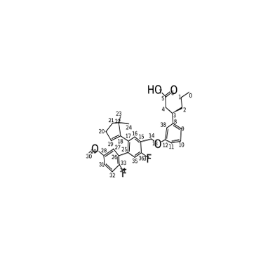 CCC[C@H](CC(=O)O)c1cccc(OCc2cc(C3=CCCC3(C)C)c(-c3cc(OC)ccc3F)cc2F)c1